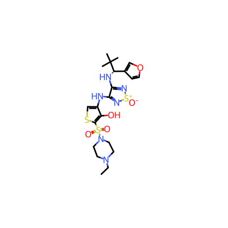 CCN1CCN(S(=O)(=O)c2scc(Nc3n[s+]([O-])nc3N[C@@H](c3ccoc3)C(C)(C)C)c2O)CC1